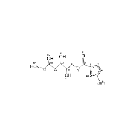 CCCc1ccc(C(=O)OCC(O)C(O)CC(O)CO)s1